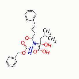 CC(C)C[C@](O)(C(=O)O)N(NC(=O)OCc1ccccc1)C(=O)CCCc1ccccc1